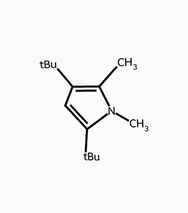 Cc1c(C(C)(C)C)cc(C(C)(C)C)n1C